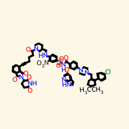 CC1(C)CCC(CN2CCN(c3ccc(C(=O)NS(=O)(=O)c4ccc(NCC5CCCN(C(=O)CCCC#Cc6cccc7c6C(=O)N(C6CCC(=O)NC6=O)C7=O)C5)c([N+](=O)[O-])c4)c(Oc4cnc5[nH]ccc5c4)c3)CC2)=C(c2ccc(Cl)cc2)C1